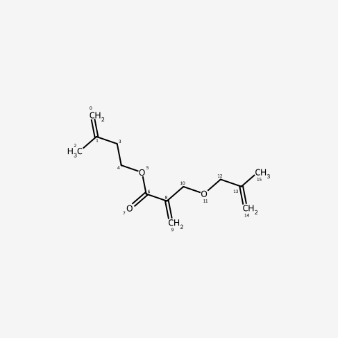 C=C(C)CCOC(=O)C(=C)COCC(=C)C